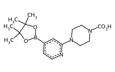 CC1(C)OB(c2ccnc(N3CCN(C(=O)O)CC3)c2)OC1(C)C